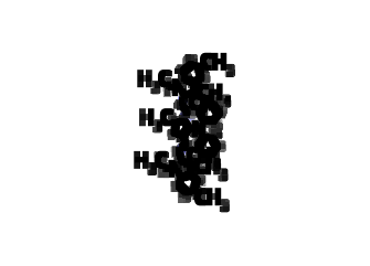 CCN1/C(=C/C=C2\C(C)=CC(/C=C/C3=[N+](CC)c4ccc(C)cc4C3(C)C)=C2N(c2ccccc2)c2ccccc2)C(C)(C)c2cc(C)ccc21